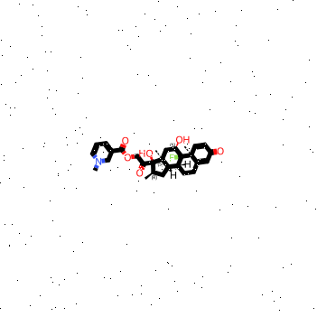 C[C@@H]1C[C@H]2[C@@H]3CCC4=CC(=O)C=C[C@]4(C)C3(F)[C@@H](O)C[C@]2(C)[C@@]1(O)C(=O)COC(=O)C1=CC=CN(C)C1